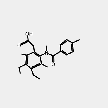 CCc1c(C)c(CC(=O)O)c(N(C)C(=O)c2ccc(C)cc2)c(C)c1CC